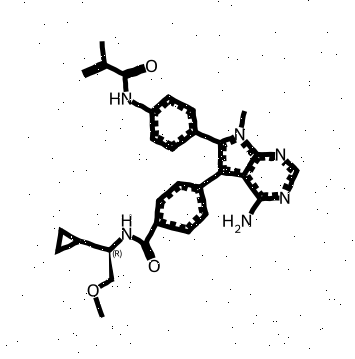 C=C(C)C(=O)Nc1ccc(-c2c(-c3ccc(C(=O)N[C@@H](COC)C4CC4)cc3)c3c(N)ncnc3n2C)cc1